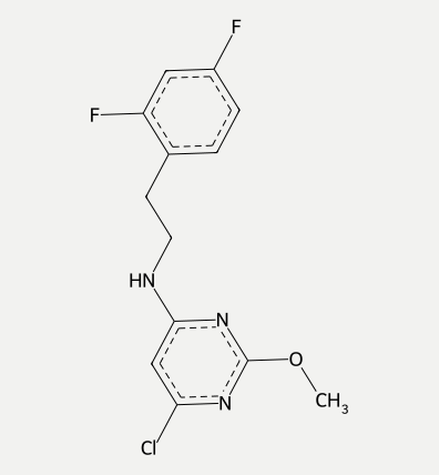 COc1nc(Cl)cc(NCCc2ccc(F)cc2F)n1